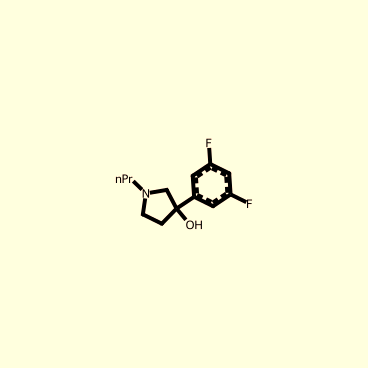 CCCN1CCC(O)(c2cc(F)cc(F)c2)C1